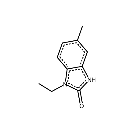 CCn1c(=O)[nH]c2cc(C)ccc21